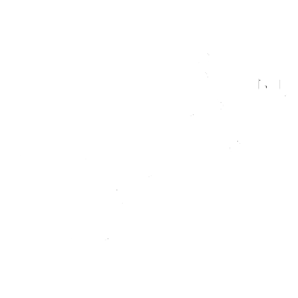 Cc1cc2c(C)cccc2cc1S(N)(=O)=O